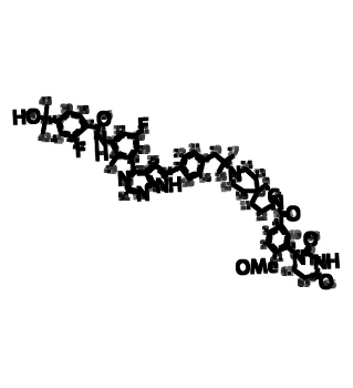 COc1ccc(C(=O)N2CCC3(CC2)CCN(C(C)(C)Cc2ccc(-c4cc5c(-c6cc(F)cc(NC(=O)c7ccc(C(C)(C)O)cc7F)c6C)ncnc5[nH]4)cc2)CC3)cc1N1CCC(=O)NC1=O